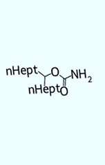 CCCCCCCC(CCCCCCC)OC(N)=O